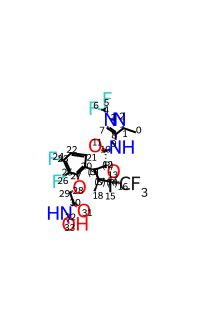 Cc1nn(C(F)F)cc1NC(=O)[C@@H]1O[C@@](C)(C(F)(F)F)[C@@H](C)[C@H]1c1ccc(F)c(F)c1OCC(=O)NO